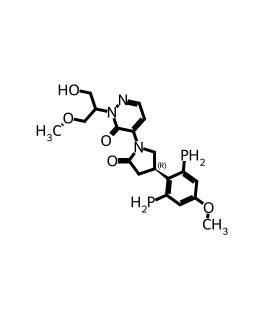 COCC(CO)n1nccc(N2C[C@@H](c3c(P)cc(OC)cc3P)CC2=O)c1=O